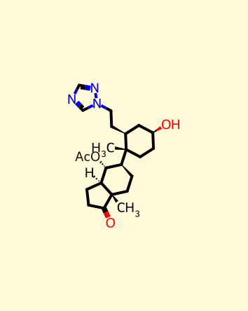 CC(=O)O[C@@H]1[C@@H]([C@@]2(C)CC[C@H](O)C[C@@H]2CCn2cncn2)CC[C@]2(C)C(=O)CC[C@@H]12